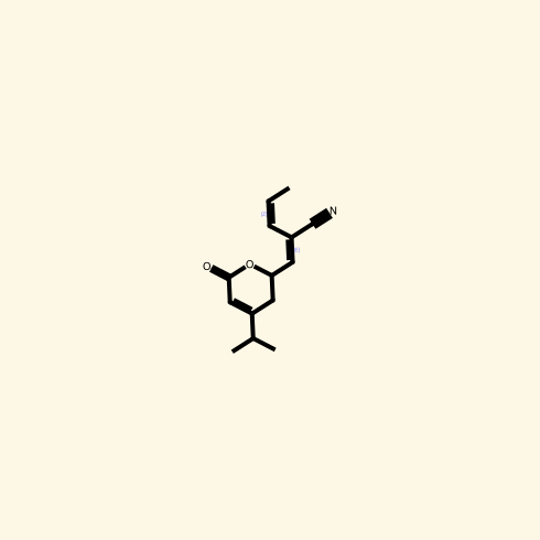 C/C=C\C(C#N)=C/C1CC(C(C)C)=CC(=O)O1